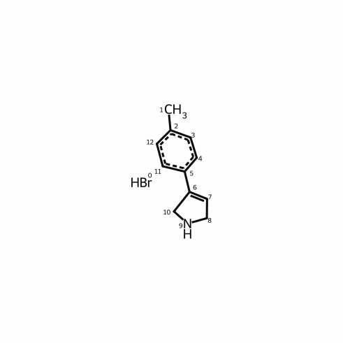 Br.Cc1ccc(C2=CCNC2)cc1